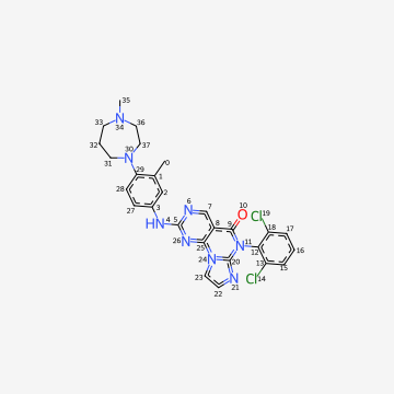 Cc1cc(Nc2ncc3c(=O)n(-c4c(Cl)cccc4Cl)c4nccn4c3n2)ccc1N1CCCN(C)CC1